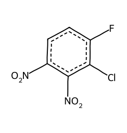 O=[N+]([O-])c1ccc(F)c(Cl)c1[N+](=O)[O-]